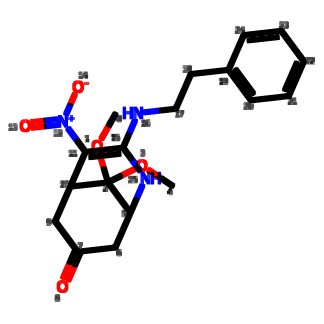 COC1(OC)C2CC(=O)CC1C([N+](=O)[O-])=C(NCCc1ccccc1)N2